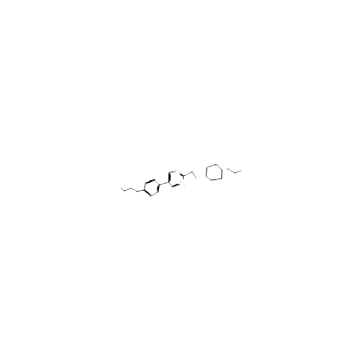 CCCCc1ccc(-c2cnc(CC[C@H]3CC[C@H](CCC)CC3)nc2)cc1